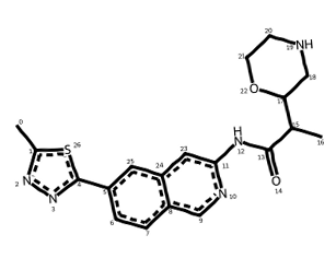 Cc1nnc(-c2ccc3cnc(NC(=O)C(C)C4CNCCO4)cc3c2)s1